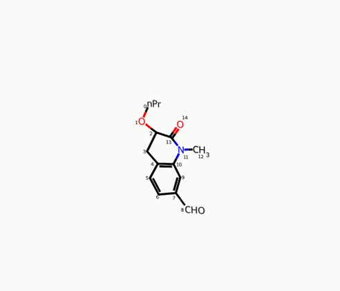 CCCOC1Cc2ccc(C=O)cc2N(C)C1=O